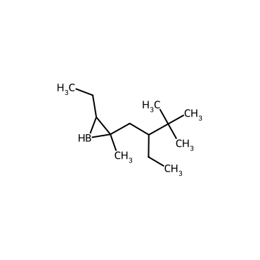 CCC(CC1(C)BC1CC)C(C)(C)C